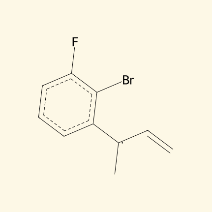 C=C[C](C)c1cccc(F)c1Br